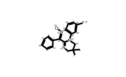 CC1(C)CN=C2C(c3ccccc3)=[N+]([O-])c3ccc(F)cc3N2C1